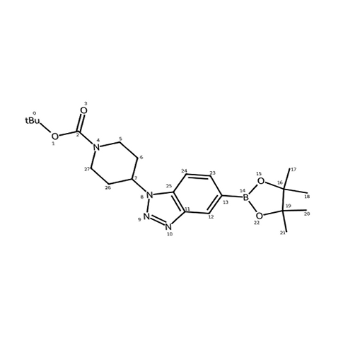 CC(C)(C)OC(=O)N1CCC(n2nnc3cc(B4OC(C)(C)C(C)(C)O4)ccc32)CC1